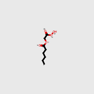 CCCCCC(=O)OCC(=O)OO